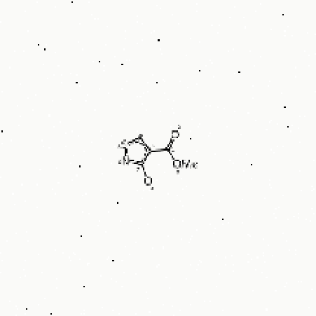 COC(=O)c1csnc1[O]